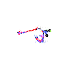 C[C@H](NC(=O)Cc1ccncc1)C(=O)N[C@H](C)C(=O)N[C@@H](CC(N)=O)C(=O)NCCCN(C(=O)CSC[C@H](NC(=O)CCOCCOCCOCCOCCNC(=O)CN1C(=O)C=CC1=O)C(=O)O)[C@@H](c1cc(-c2cc(F)ccc2F)cn1Cc1ccccc1)C(C)(C)C